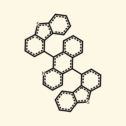 c1ccc2c(c1)sc1cccc(-c3c4ccccc4c(-c4cccc5sc6ccccc6c45)c4ncccc34)c12